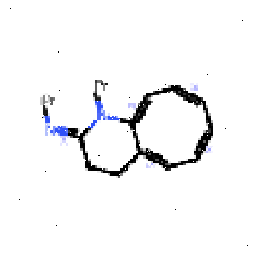 CC(C)/N=C1/CCC2=C/C=C\C=C/C=C\2N1C(C)C